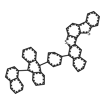 c1ccc2c(-c3c4ccccc4c(-c4ccc(-c5c6ccccc6cc6c5sc5ccc7c8ccccc8sc7c56)cc4)c4ccccc34)cccc2c1